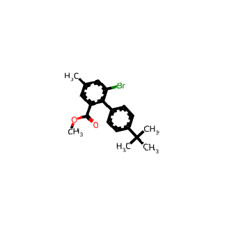 COC(=O)c1cc(C)cc(Br)c1-c1ccc(C(C)(C)C)cc1